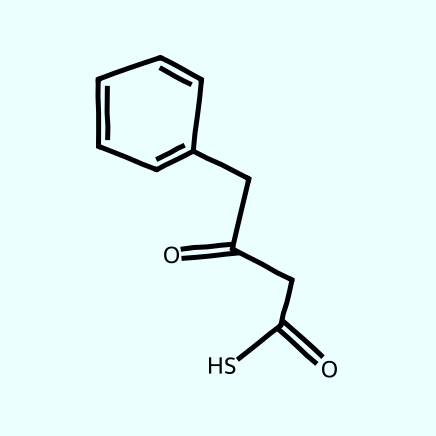 O=C(S)CC(=O)Cc1ccccc1